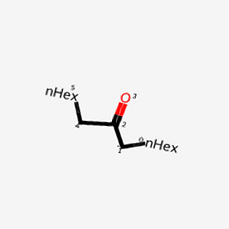 CCCCCC[CH]C(=O)CCCCCCC